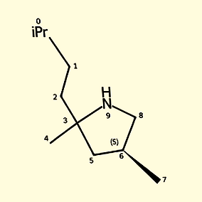 CC(C)CCC1(C)C[C@H](C)CN1